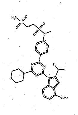 COc1cccc2c1nc(C(F)F)n2-c1nc(-c2ccc(N(C)S(=O)(=O)CCS(N)(=O)=O)cc2)nc(N2CCOCC2)n1